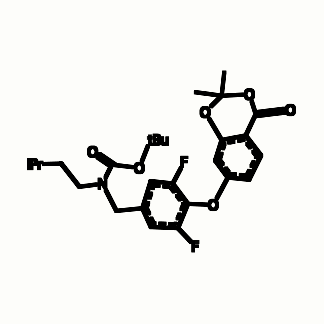 CC(C)CCN(Cc1cc(F)c(Oc2ccc3c(c2)OC(C)(C)OC3=O)c(F)c1)C(=O)OC(C)(C)C